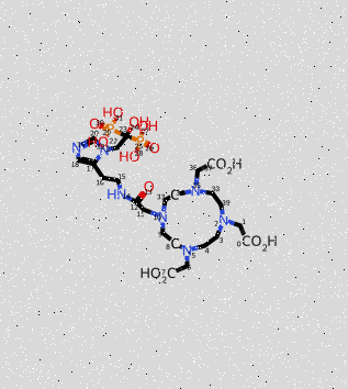 O=C(O)CN1CCN(CC(=O)O)CCN(CC(=O)NCCc2cncn2CC(O)(P(=O)(O)O)P(=O)(O)O)CCN(CC(=O)O)CC1